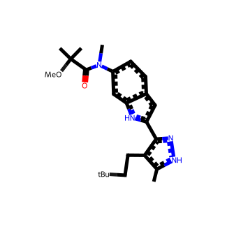 COC(C)(C)C(=O)N(C)c1ccc2cc(-c3n[nH]c(C)c3CCC(C)(C)C)[nH]c2c1